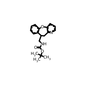 CC(C)(C)OC(=O)NCC1Cc2ncccc2Oc2ccccc21